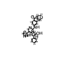 [2H]C([2H])(O)[C@@H](Nc1nc(Nc2ccc3c(=O)n4n(c3c2)COCC4)ncc1-c1nnco1)c1ccccc1